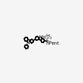 CCCCC[C@@H](C)c1ccc2c(c1)[nH]c1ccc(-c3ccc4c(c3)c3ccccc3n4-c3ccccc3)cc12